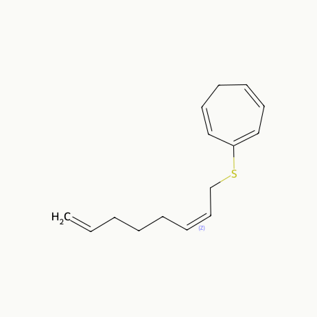 C=CCCC/C=C\CSC1=CC=CCC=C1